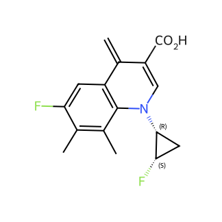 C=C1C(C(=O)O)=CN([C@@H]2C[C@@H]2F)c2c1cc(F)c(C)c2C